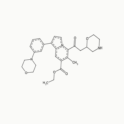 CCOC(=O)c1cc2c(-c3cccc(N4CCOCC4)c3)ccn2c(C(=O)CC2CNCCO2)c1C